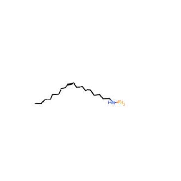 CCCCCCCC/C=C\CCCCCCCCNP